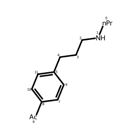 CCCNCCCc1ccc(C(C)=O)cc1